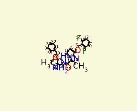 Cc1nc2c(OCc3c(F)cccc3F)cccn2c1C(=O)NCC(C)(N)COCc1ccccc1